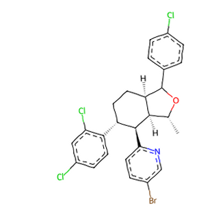 C[C@H]1OC(c2ccc(Cl)cc2)[C@@H]2CC[C@@H](c3ccc(Cl)cc3Cl)[C@H](c3ccc(Br)cn3)[C@H]12